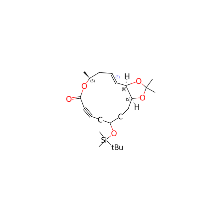 C[C@H]1C/C=C/[C@H]2OC(C)(C)O[C@H]2CCC(O[Si](C)(C)C(C)(C)C)CC#CC(=O)O1